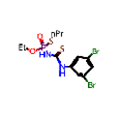 CCCSP(=O)(NC(=S)Nc1cc(Br)cc(Br)c1)OCC